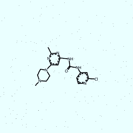 Cc1nc(NC(=O)Nc2ccnc(Cl)c2)cc(N2CCN(C)CC2)n1